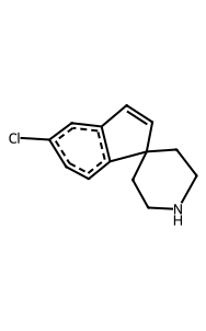 Clc1ccc2c(c1)C=CC21CCNCC1